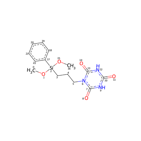 CO[Si](CCCn1c(=O)[nH]c(=O)[nH]c1=O)(OC)c1ccccc1